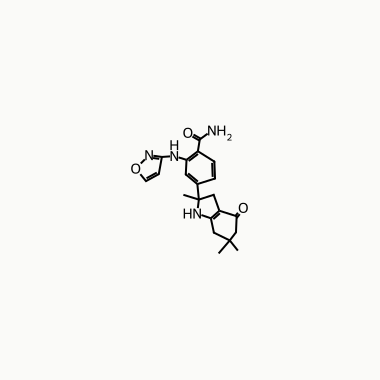 CC1(C)CC(=O)C2=C(C1)NC(C)(c1ccc(C(N)=O)c(Nc3ccon3)c1)C2